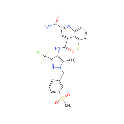 Cc1c(NC(=O)c2cc(C(N)=O)nc3cccc(F)c23)c(C(F)(F)F)nn1Cc1cccc(S(C)(=O)=O)c1